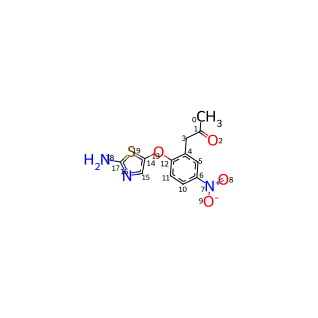 CC(=O)Cc1cc([N+](=O)[O-])ccc1Oc1cnc(N)s1